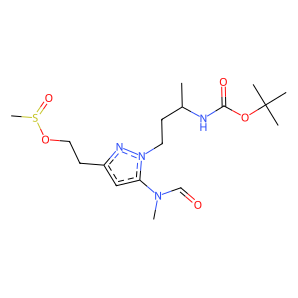 CC(CCn1nc(CCOS(C)=O)cc1N(C)C=O)NC(=O)OC(C)(C)C